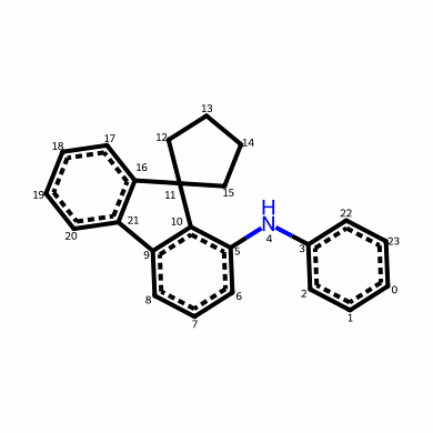 c1ccc(Nc2cccc3c2C2(CCCC2)c2ccccc2-3)cc1